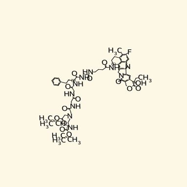 CC[C@@]1(O)C(=O)OCc2c1cc1n(c2=O)Cc2c-1nc1cc(F)c(C)c3c1c2[C@@H](NC(=O)CCCNC(=O)CNC(=O)[C@H](CCc1ccccc1)NC(=O)CNC(=O)CNC(=O)CN(CCNC(=O)OC(C)(C)C)CC(=O)OC(C)(C)C)CC3